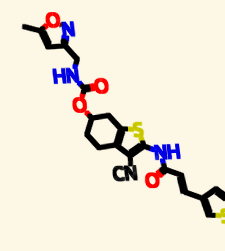 Cc1cc(CNC(=O)OC2CCc3c(sc(NC(=O)C=Cc4ccsc4)c3C#N)C2)no1